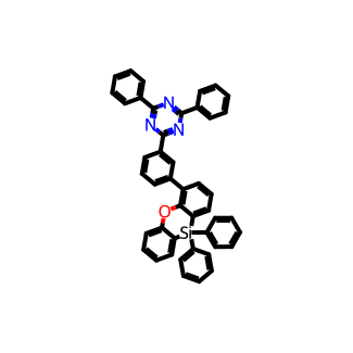 c1ccc(-c2nc(-c3ccccc3)nc(-c3cccc(-c4cccc5c4Oc4ccccc4[Si]5(c4ccccc4)c4ccccc4)c3)n2)cc1